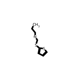 CCC[N]CSc1cccs1